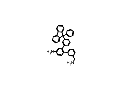 NCc1cccc(-c2ccc(N)cc2-c2cccc(C3(c4ccccc4)c4ccccc4-c4ccccc43)c2)c1